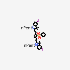 CCCCCN1/C(=C/C=C2\CCC(/C=C/C3=[N+](CCCCC)c4ccc(I)cc4C3(C)C)=C2S(=O)(=O)c2ccccc2)C(C)(C)c2cc(I)ccc21